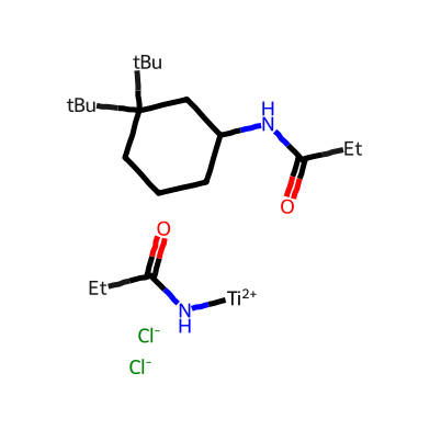 CCC(=O)NC1CCCC(C(C)(C)C)(C(C)(C)C)C1.CCC(=O)[NH][Ti+2].[Cl-].[Cl-]